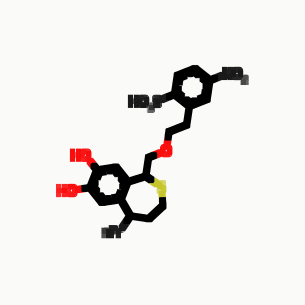 CCCC1CCSC(COCCc2cc([N+](=O)[O-])ccc2S(=O)(=O)O)c2cc(O)c(O)cc21